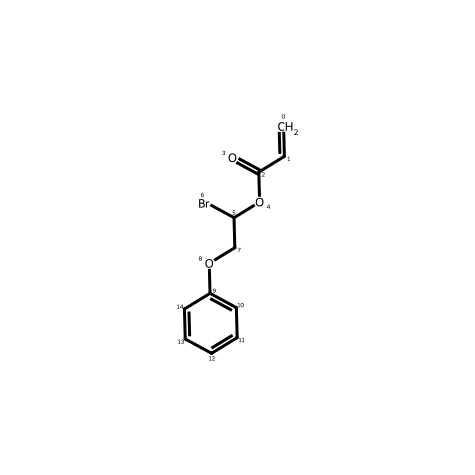 C=CC(=O)OC(Br)COc1ccccc1